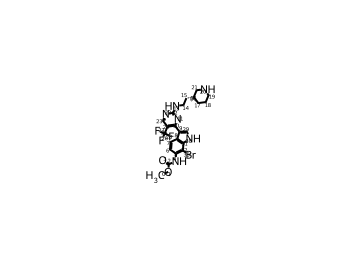 COC(=O)Nc1ccc2c(-c3nc(NCC[C@H]4CCCNC4)ncc3C(F)(F)F)c[nH]c2c1Br